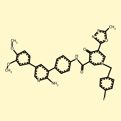 COc1ccc(-c2cnc(N)c(-c3ccc(NC(=O)c4cn(Cc5ccc(F)cc5)cc(-c5nnc(C)o5)c4=O)cc3)c2)cc1OC